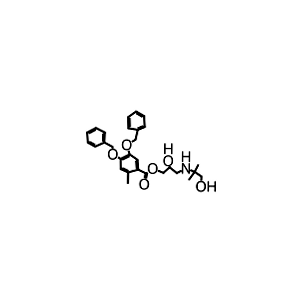 Cc1cc(OCc2ccccc2)c(OCc2ccccc2)cc1C(=O)OC[C@@H](O)CNC(C)(C)CO